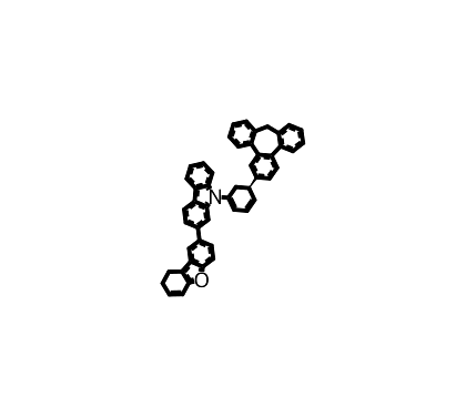 C1=C[C@H](c2ccc3c(c2)-c2ccccc2Cc2ccccc2-3)CC(n2c3ccccc3c3ccc(-c4ccc5oc6c(c5c4)CCC=C6)cc32)=C1